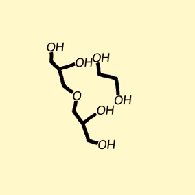 OCC(O)COCC(O)CO.OCCO